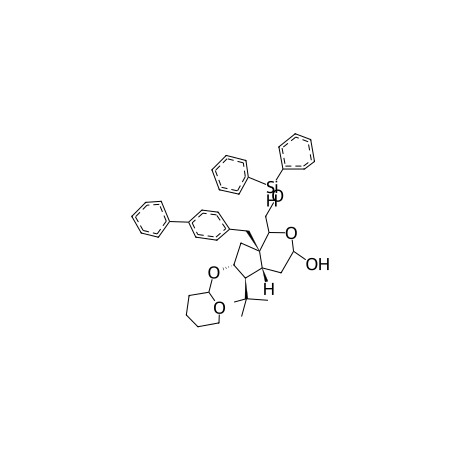 CC(C)(C)[C@@H]1[C@H]2CC(O)OC(CO[SiH](c3ccccc3)c3ccccc3)[C@@]2(Cc2ccc(-c3ccccc3)cc2)C[C@H]1OC1CCCCO1